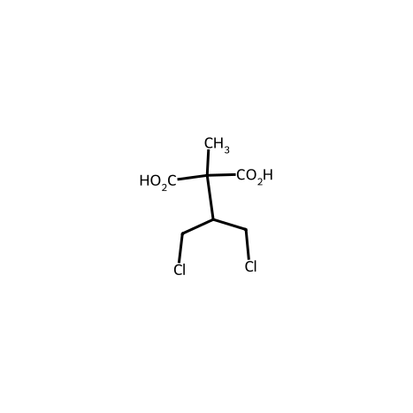 CC(C(=O)O)(C(=O)O)C(CCl)CCl